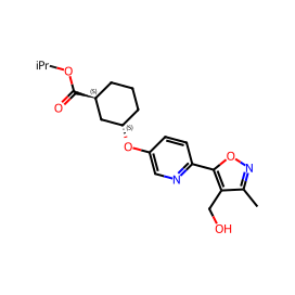 Cc1noc(-c2ccc(O[C@H]3CCC[C@H](C(=O)OC(C)C)C3)cn2)c1CO